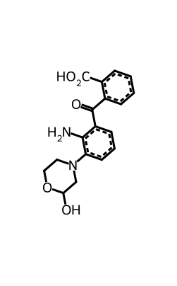 Nc1c(C(=O)c2ccccc2C(=O)O)cccc1N1CCOC(O)C1